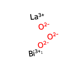 [Bi+3].[La+3].[O-2].[O-2].[O-2]